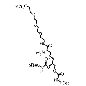 CCCCCCCCCCNC(=O)OC[C@H](CSC[C@H](N)C(=O)NCCOCCOCCOCCC(=O)O)OC(=O)NCCCCCCCCCC